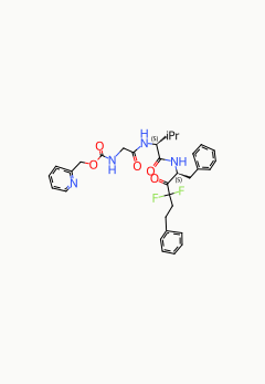 CC(C)[C@H](NC(=O)CNC(=O)OCc1ccccn1)C(=O)N[C@@H](Cc1ccccc1)C(=O)C(F)(F)CCc1ccccc1